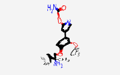 CC(C)C[C@](C)(N)COc1ccc(-c2ccnc(OC(N)=O)c2)cc1OC(F)(F)F